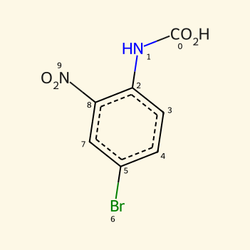 O=C(O)Nc1ccc(Br)cc1[N+](=O)[O-]